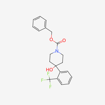 O=C(OCc1ccccc1)N1CCC(O)(c2ccccc2C(F)(F)F)CC1